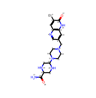 CCc1cc2ncc(CN3CCN(C4CNC(C(N)=O)CN4)CC3)cc2[nH]c1=O